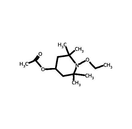 CCON1C(C)(C)CC(OC(C)=O)CC1(C)C